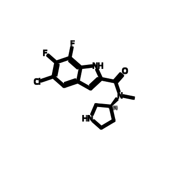 CN(C(=O)c1cc2cc(Cl)c(F)c(F)c2[nH]1)[C@H]1CCNC1